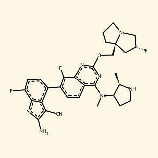 C[C@H]1NCC[C@H]1N(C)c1nc(OC[C@@]23CCCN2C[C@H](F)C3)nc2c(F)c(-c3ccc(F)c4sc(N)c(C#N)c34)ccc12